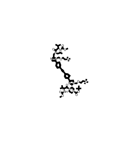 CCCN(Cc1ncc(-c2ccc(C#Cc3ccc(-c4cn(COCC[Si](C)(C)C)c([C@@H]5CN(C(=O)OC(C)(C)C)CCN5C(=O)[C@@H](NC(=O)OC)C(C)C)n4)cc3)cc2)n1COCC[Si](C)(C)C)C(=O)[C@@H](NC(=O)OC)C(C)C